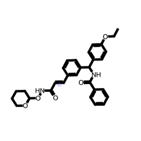 CCOc1ccc(C(NC(=O)c2ccccc2)c2cccc(/C=C/C(=O)NOC3CCCCO3)c2)cc1